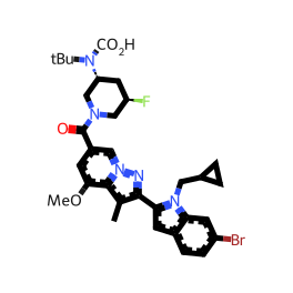 COc1cc(C(=O)N2C[C@H](F)C[C@@H](N(C(=O)O)C(C)(C)C)C2)cn2nc(-c3cc4ccc(Br)cc4n3CC3CC3)c(C)c12